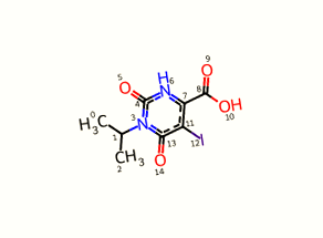 CC(C)n1c(=O)[nH]c(C(=O)O)c(I)c1=O